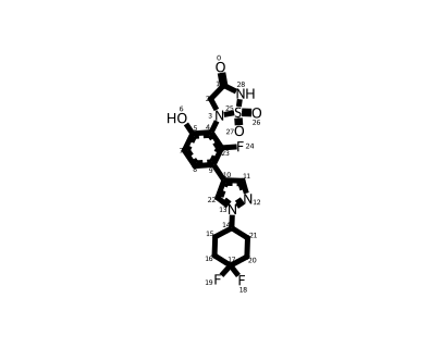 O=C1CN(c2c(O)ccc(-c3cnn(C4CCC(F)(F)CC4)c3)c2F)S(=O)(=O)N1